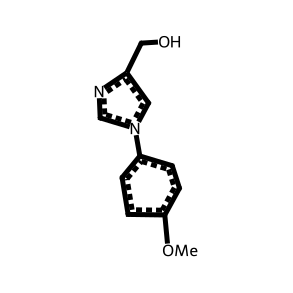 COc1ccc(-n2cnc(CO)c2)cc1